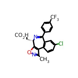 Cc1noc2c1-c1ccc(Cl)cc1C(c1ccc(C(F)(F)F)cc1)=N[C@H]2CC(=O)O